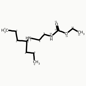 CCCC(CCC)NCCNC(=O)OCC